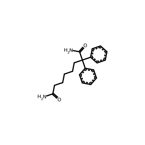 NC(=O)CCCCCC(C(N)=O)(c1ccccc1)c1ccccc1